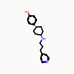 Oc1ccc([C@H]2CC[C@H](NCCCc3ccncc3)CC2)cc1